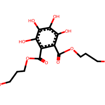 O=C(OCCCO)c1c(O)c(O)c(O)c(O)c1C(=O)OCCCO